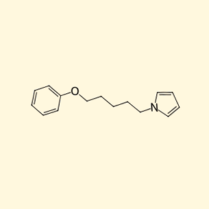 c1ccc(OCCCCCn2cccc2)cc1